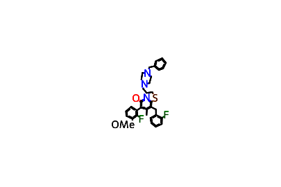 COc1cccc(-c2c(C)c(Cc3ccccc3F)c3n(c2=O)C(CN2CCN(Cc4ccccc4)CC2)CS3)c1F